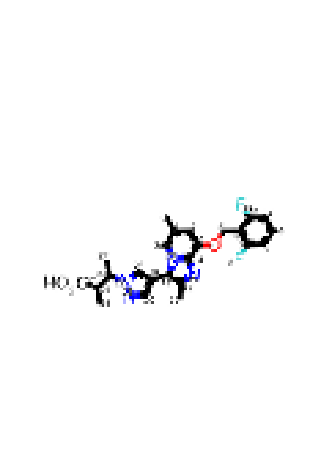 Cc1cc(OCc2c(F)cccc2F)c2nc(C)c(-c3cnn(C(C)C(C)C(=O)O)c3)n2c1